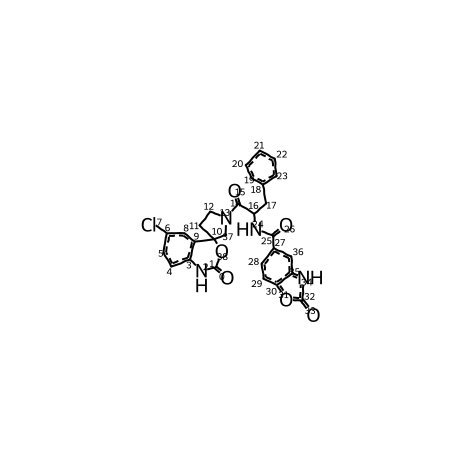 O=C1Nc2ccc(Cl)cc2C2(CCN(C(=O)C(Cc3ccccc3)NC(=O)c3ccc4oc(=O)[nH]c4c3)C2)O1